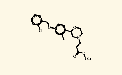 Cc1cc(OCc2ccccc2Cl)ccc1C1CN(CCC(=O)OC(C)(C)C)CCO1